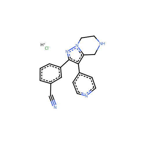 N#Cc1cccc(-c2nn3c(c2-c2ccncc2)CNCC3)c1.[Cl-].[H+]